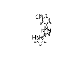 Clc1cccc(-n2nnc([C@H]3CCCN3)n2)c1